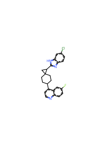 Fc1ccc2nccc(C3CCC4(CC3)CC4c3nc4ccc(Cl)cc4[nH]3)c2c1